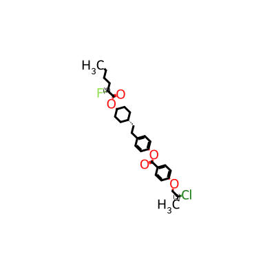 CCCC[C@H](F)C(=O)O[C@H]1CC[C@H](CCc2ccc(OC(=O)c3ccc(OC[C@H](C)Cl)cc3)cc2)CC1